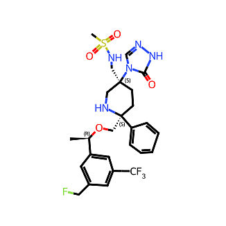 C[C@@H](OC[C@@]1(c2ccccc2)CC[C@](CNS(C)(=O)=O)(n2cn[nH]c2=O)CN1)c1cc(CF)cc(C(F)(F)F)c1